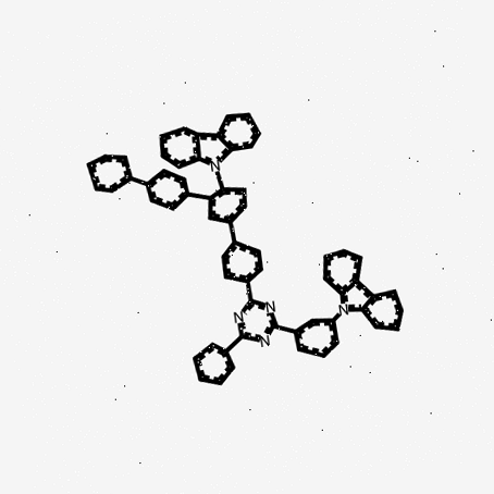 c1ccc(-c2ccc(-c3cc(-c4ccc(-c5nc(-c6ccccc6)nc(-c6cccc(-n7c8ccccc8c8ccccc87)c6)n5)cc4)ccc3-n3c4ccccc4c4ccccc43)cc2)cc1